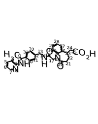 CC(Nc1ccccn1)c1ccc(CNC(=O)CN2C(=O)CCC(CC(=O)O)c3ccccc32)cc1